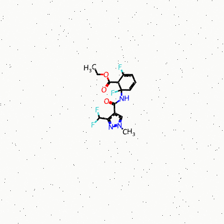 CCOC(=O)C1C(F)=CC=CC1(F)NC(=O)c1cn(C)nc1C(F)F